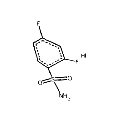 I.NS(=O)(=O)c1ccc(F)cc1F